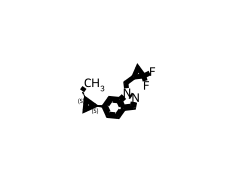 CC[C@H]1C[C@@H]1c1ccc2cnn(CC3CC3(F)F)c2c1